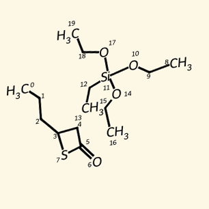 CCCC1CC(=O)S1.CCO[Si](CC)(OCC)OCC